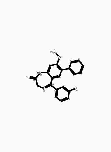 COc1cc2c(cc1-c1ccccc1)C(c1cccc(Br)c1)=NCC(=O)N2